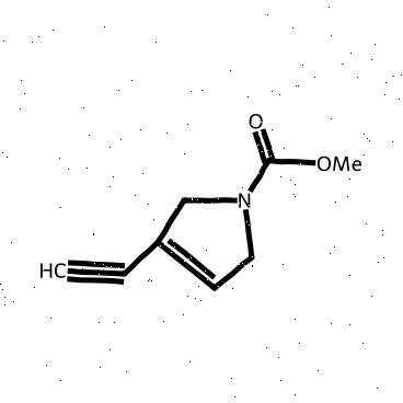 C#CC1=CCN(C(=O)OC)C1